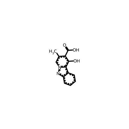 Cc1cn2nc3ccccc3c2c(O)c1C(=O)O